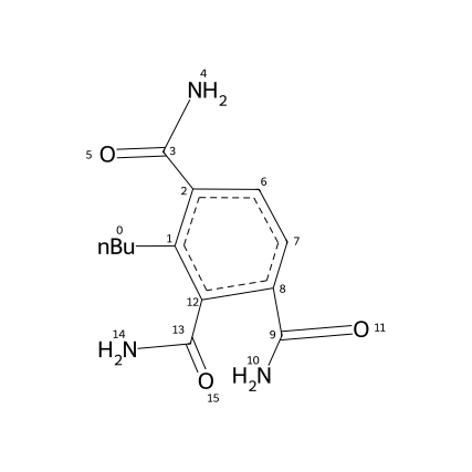 CCCCc1c(C(N)=O)ccc(C(N)=O)c1C(N)=O